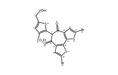 CCCCCCCCCCCc1cc(C(=O)OCC)c(-n2c(=O)c3cc(Br)sc3c3sc(Br)cc3c2=O)s1